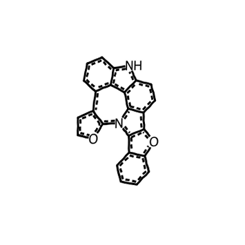 c1ccc2c(c1)oc1c3ccc4[nH]c5cccc6c7ccoc7n(c21)c3c4c56